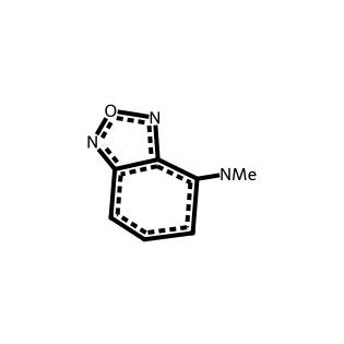 CNc1cccc2nonc12